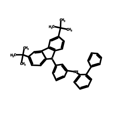 CC(C)(C)c1ccc2c(c1)c1cc(C(C)(C)C)ccc1n2-c1cccc(Nc2ccccc2-c2ccccc2)c1